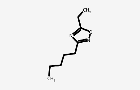 CCCCCc1noc(CC)n1